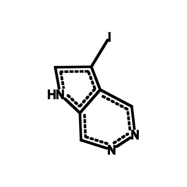 Ic1c[nH]c2cnncc12